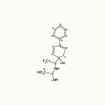 CCCC(NC(C(F)(F)F)C1(C(C)=O)C=CC(c2ccccc2)=CC1)C(=O)O